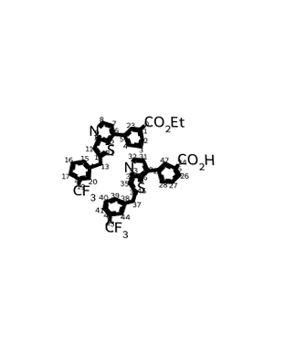 CCOC(=O)c1cccc(-c2ccnc3cc(Cc4cccc(C(F)(F)F)c4)sc23)c1.O=C(O)c1cccc(-c2ccnc3cc(Cc4cccc(C(F)(F)F)c4)sc23)c1